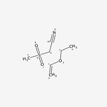 C=COCC.CS(=O)(=O)CC#N